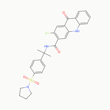 CC(C)(NC(=O)c1cc2[nH]c3ccccc3c(=O)c2cc1F)c1ccc(S(=O)(=O)N2CCCC2)cc1